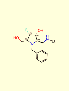 CCNC[C@@H]1[C@@H](O)[C@@H](F)[C@@H](CO)N1Cc1ccccc1